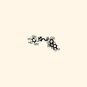 CC(C)[C@]12O[C@H]1[C@@H]1O[C@]13[C@]1(O[C@H]1C[C@H]1C4=C(CC[C@@]13C)C(=O)OC4)[C@@H]2OC(=O)CCc1cn(C[C@H]2OC(O)[C@H](O)[C@@H](O)[C@@H]2O)nn1